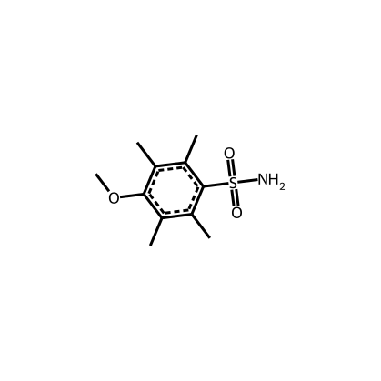 COc1c(C)c(C)c(S(N)(=O)=O)c(C)c1C